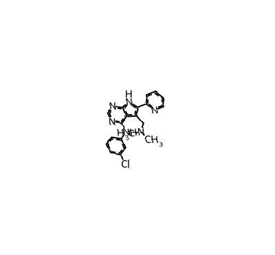 CN(C)Cc1c(-c2ccccn2)[nH]c2ncnc(Nc3cccc(Cl)c3)c12